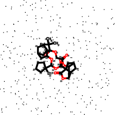 CCC(C)(C)C(=O)OCC(=O)OC1C2CC3C1OC(=O)C3(C(=O)OC(OC1CC3CCC1C3)C1(CC)CCCC1)C2